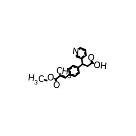 CCOC(=O)/C(C)=C/c1ccc(C(CC(=O)O)c2cccnc2)cc1